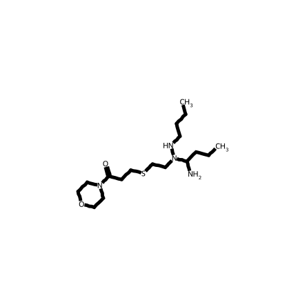 CCCCNN(CCSCCC(=O)N1CCOCC1)C(N)CCC